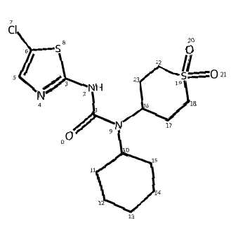 O=C(Nc1ncc(Cl)s1)N(C1CCCCC1)C1CCS(=O)(=O)CC1